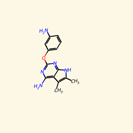 Cc1[nH]c2nc(Oc3cccc(N)c3)nc(N)c2c1C